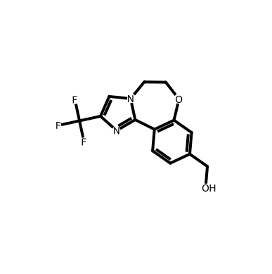 OCc1ccc2c(c1)OCCn1cc(C(F)(F)F)nc1-2